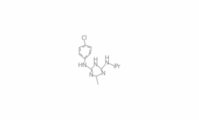 CC1N=C(Nc2ccc(Cl)cc2)NC(NC(C)C)=N1